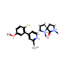 CCOc1ccc(F)c(-c2cc(C)nc([C@@H]3CC[C@]4(CCN(C)C4=O)N3C)c2)c1.Cl